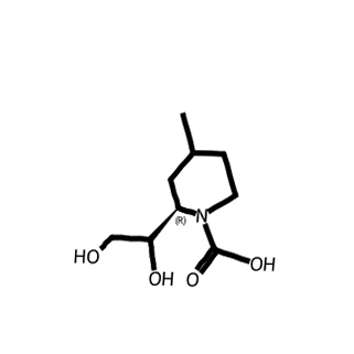 CC1CCN(C(=O)O)[C@@H](C(O)CO)C1